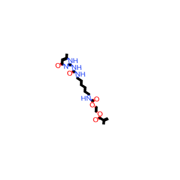 C=C(C)C(=O)OCCOC(=O)NCCCCCCNC(=O)Nc1nc(=O)cc(C)[nH]1